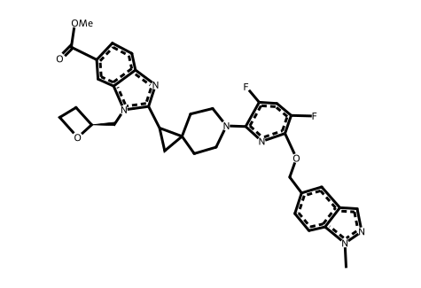 COC(=O)c1ccc2nc(C3CC34CCN(c3nc(OCc5ccc6c(cnn6C)c5)c(F)cc3F)CC4)n(C[C@@H]3CCO3)c2c1